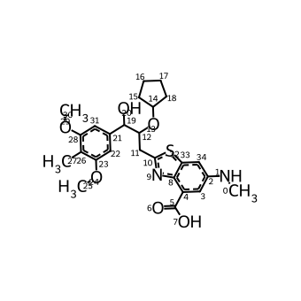 CNc1cc(C(=O)O)c2nc(CC(OC3CCCC3)C(O)c3cc(OC)c(C)c(OC)c3)sc2c1